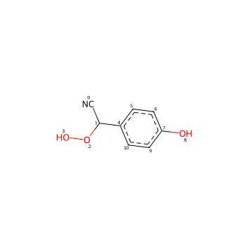 N#CC(OO)c1ccc(O)cc1